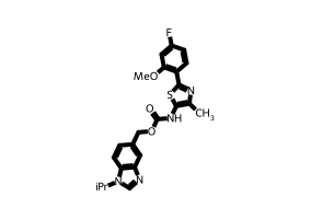 COc1cc(F)ccc1-c1nc(C)c(NC(=O)OCc2ccc3c(c2)ncn3C(C)C)s1